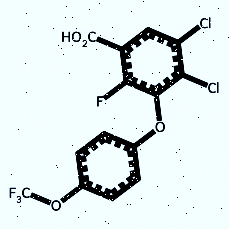 O=C(O)c1cc(Cl)c(Cl)c(Oc2ccc(OC(F)(F)F)cc2)c1F